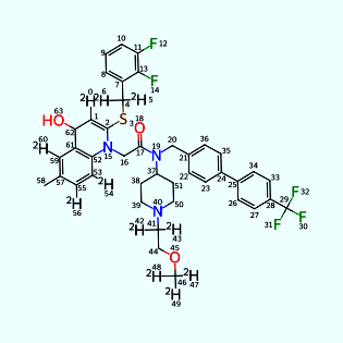 [2H]C1=C(SC([2H])([2H])c2cccc(F)c2F)N(CC(=O)N(Cc2ccc(-c3ccc(C(F)(F)F)cc3)cc2)C2CCN(C([2H])([2H])COC([2H])([2H])[2H])CC2)c2c([2H])c([2H])c(C)c([2H])c2C1O